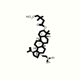 C=C(C)[C@@H]1CC[C@]2(CCN(CCC)CCC)CC[C@]3(C)[C@H](CC[C@@H]4[C@@]5(C)CC[C@H](OC(=O)CC(C)(C)CC(=O)O)C(C)(C)[C@@H]5CC[C@]43C)[C@@H]12